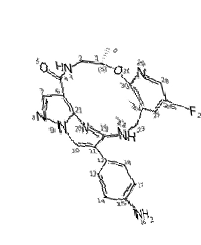 C[C@H]1CNC(=O)c2cnn3cc(-c4ccc(N)cc4)c(nc23)NCc2cc(F)cnc2O1